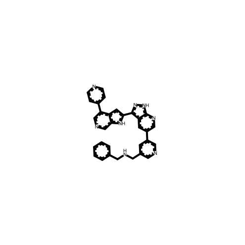 c1ccc(CNCc2cncc(-c3cnc4[nH]nc(-c5cc6c(-c7ccncc7)cncc6[nH]5)c4c3)c2)cc1